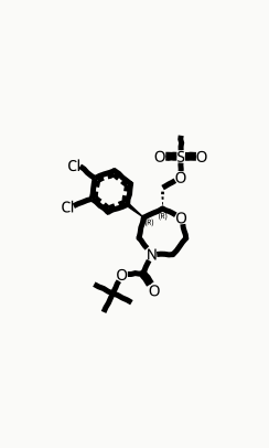 CC(C)(C)OC(=O)N1CCO[C@@H](COS(C)(=O)=O)[C@H](c2ccc(Cl)c(Cl)c2)C1